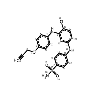 C#CCOc1ccc(Nc2nc(Nc3ccc(S(N)(=O)=O)cc3)ncc2Cl)cc1